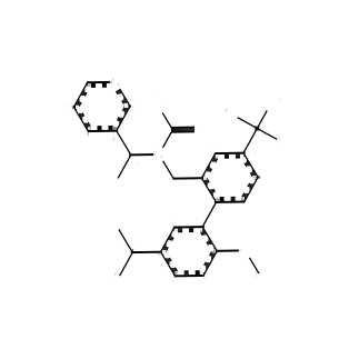 COc1ccc(C(C)C)cc1-c1ccc(C(F)(F)F)cc1CN(C(=O)O)C(C)c1cccnc1